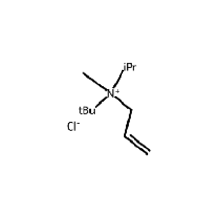 C=CC[N+](C)(C(C)C)C(C)(C)C.[Cl-]